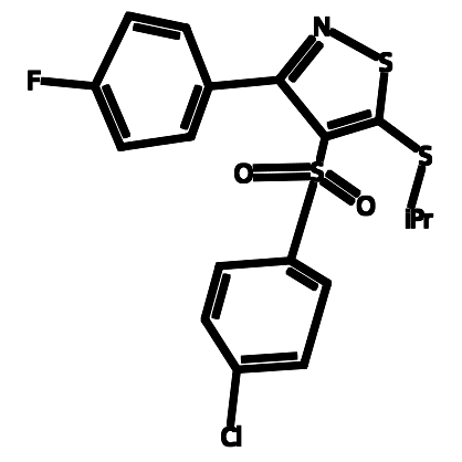 CC(C)Sc1snc(-c2ccc(F)cc2)c1S(=O)(=O)c1ccc(Cl)cc1